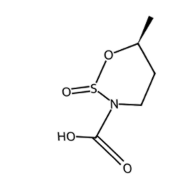 C[C@H]1CCN(C(=O)O)S(=O)O1